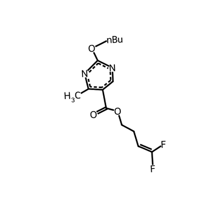 CCCCOc1ncc(C(=O)OCCC=C(F)F)c(C)n1